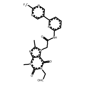 Cc1nc2c(c(=O)n(CC=O)c(=O)n2C)n1CC(=O)Nc1cccc(-c2cnc(C(F)(F)F)nc2)n1